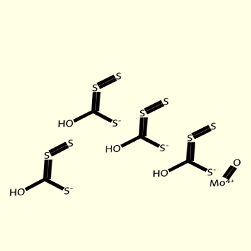 OC([S-])=S=S.OC([S-])=S=S.OC([S-])=S=S.OC([S-])=S=S.[O]=[Mo+4]